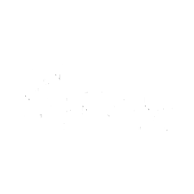 Cn1cc(C(=O)N2CCC(CCNS(C)(=O)=O)CC2)c2cc[nH]c2c1=O